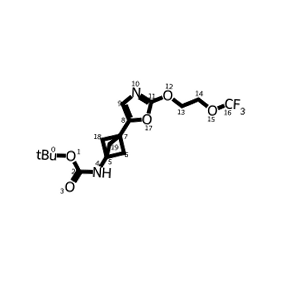 CC(C)(C)OC(=O)NC12CC(c3cnc(OCCOC(F)(F)F)o3)(C1)C2